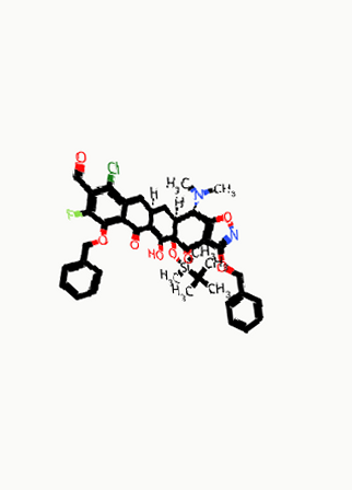 CN(C)[C@@H]1c2onc(OCc3ccccc3)c2C(=O)C2(O[Si](C)(C)C(C)(C)C)C(O)=C3C(=O)c4c(c(Cl)c(C=O)c(F)c4OCc4ccccc4)C[C@H]3C[C@@H]12